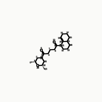 C[C@@H]1CN(C(=O)CCCC(=O)N2CCCC3CCCC=C32)C[C@H](C)O1